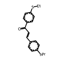 CCCc1ccc(C=CC(=O)c2ccc(SCC)cc2)cc1